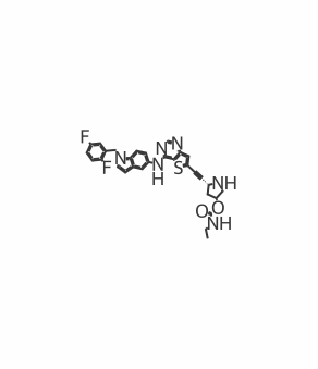 CCNC(=O)O[C@@H]1CN[C@@H](C#Cc2cc3ncnc(Nc4ccc5c(ccn5Cc5cc(F)ccc5F)c4)c3s2)C1